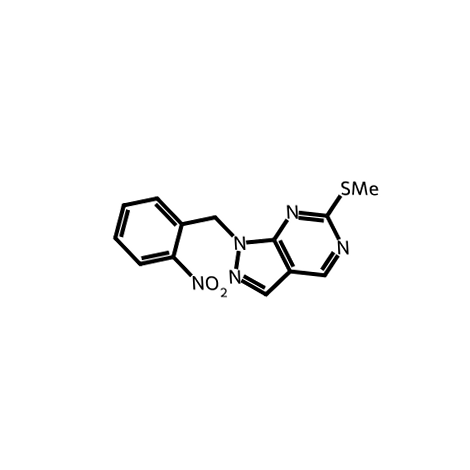 CSc1ncc2cnn(Cc3ccccc3[N+](=O)[O-])c2n1